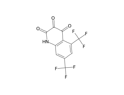 O=C1Nc2cc(C(F)(F)F)cc(C(F)(F)F)c2C(=O)C1=O